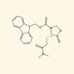 CN(C)C(=O)CC[C@H]1C(=O)OCN1C(=O)OCC1c2ccccc2-c2ccccc21